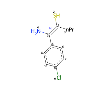 CCC/C(S)=C(/N)c1ccc(Cl)cc1